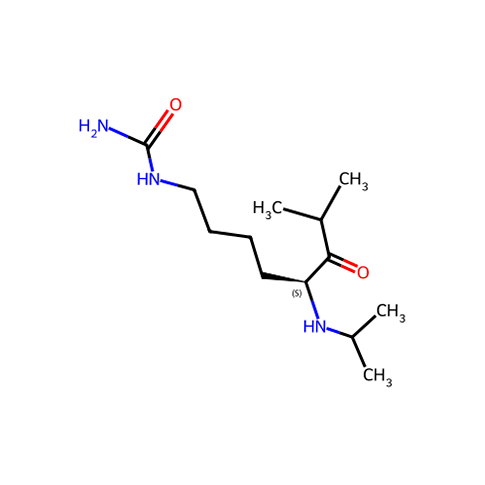 CC(C)N[C@@H](CCCCNC(N)=O)C(=O)C(C)C